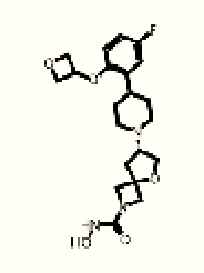 O=C(NO)N1CC2(C[C@H](N3CCC(c4cc(F)ccc4OC4COC4)CC3)CO2)C1